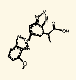 COc1cccc2nn(-c3cc(C(C)C(=O)O)c4c(c3)=N[N]N=4)nc12